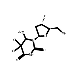 CC(=O)OC1N([C@H]2C[C@H](F)[C@@H](CO)O2)C(=O)NC(=O)C1(Cl)Cl